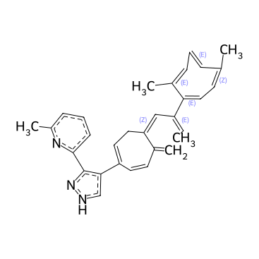 C=C1C=CC(c2c[nH]nc2-c2cccc(C)n2)=CC/C1=C/C(=C\C)C1=C/C=C(C)\C=C\C=C\1C